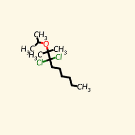 CCCCCCC(Cl)(Cl)C(C)(C)OC(C)C